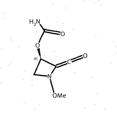 CON1C[C@@H](OC(N)=O)C1=C=O